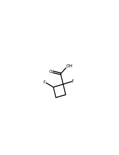 O=C(O)C1(F)CCC1F